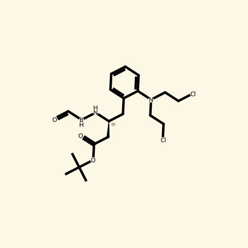 CC(C)(C)OC(=O)C[C@H](Cc1ccccc1N(CCCl)CCCl)NBC=O